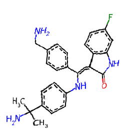 CC(C)(N)c1ccc(N/C(=C2\C(=O)Nc3cc(F)ccc32)c2ccc(CN)cc2)cc1